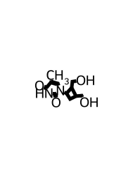 Cc1cn(C2CC(CO)C2CO)c(=O)[nH]c1=O